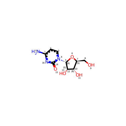 Nc1ccn([C@@H]2O[C@@H](CO)[C@H](O)[C@@H]2O)c(=O)n1